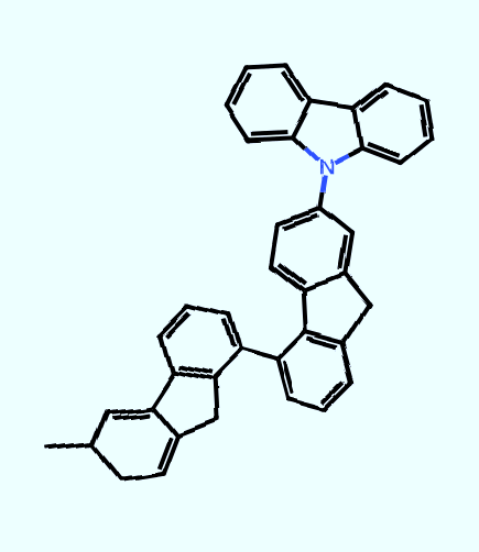 CC1C=C2C(=CC1)Cc1c2cccc1-c1cccc2c1-c1ccc(-n3c4ccccc4c4ccccc43)cc1C2